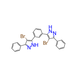 Brc1c(-c2ccccc2)n[nH]c1-c1cccc(-c2[nH]nc(-c3ccccc3)c2Br)c1